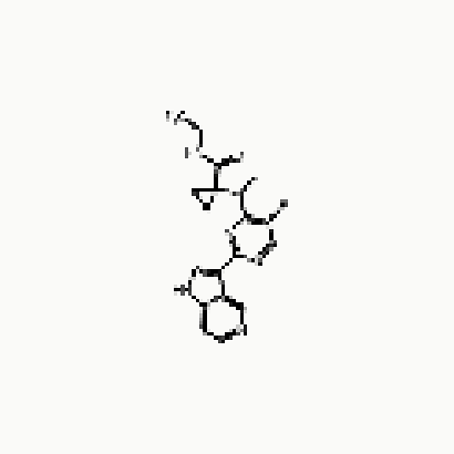 CN(c1nc(-c2c[nH]c3ncncc23)ncc1F)C1(C(=O)NCC(F)(F)F)CC1